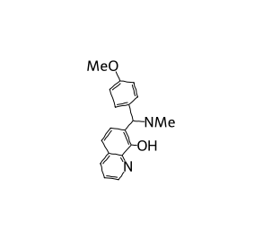 CNC(c1ccc(OC)cc1)c1ccc2cccnc2c1O